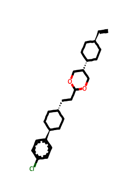 C=C[C@H]1CC[C@H](C2COC(CC[C@H]3CC[C@H](c4ccc(Cl)cc4)CC3)OC2)CC1